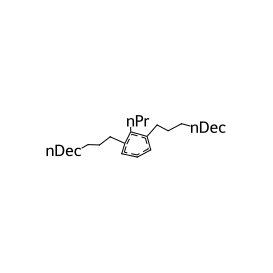 [CH2]CCc1c(CCCCCCCCCCCCC)cccc1CCCCCCCCCCCCC